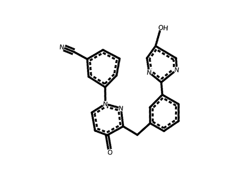 N#Cc1cccc(-n2ccc(=O)c(Cc3cccc(-c4ncc(O)cn4)c3)n2)c1